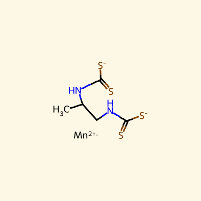 CC(CNC(=S)[S-])NC(=S)[S-].[Mn+2]